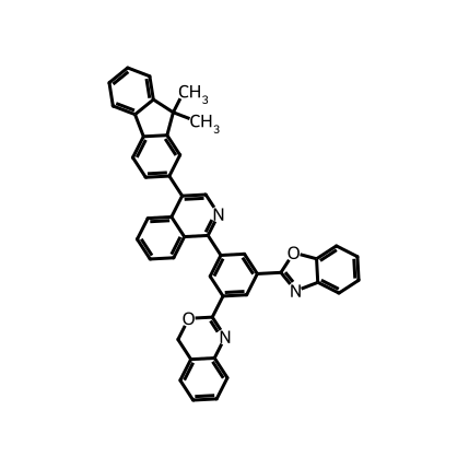 CC1(C)c2ccccc2-c2ccc(-c3cnc(-c4cc(C5=Nc6ccccc6CO5)cc(-c5nc6ccccc6o5)c4)c4ccccc34)cc21